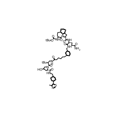 Cc1ncsc1-c1ccc(CNC(=O)[C@@H]2C[C@@H](O)CN2C(=O)C(CNC(=O)CCCCCc2cccc(CNC(=O)[C@H](CCC(N)=O)NC(=O)[C@@H]3Cc4cccc5c4N3C(=O)[C@@H](NC(=O)OC(C)(C)C)CC5)c2)C(C)(C)C)cc1